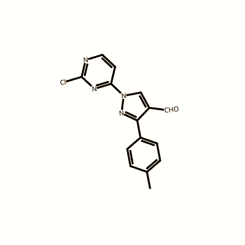 Cc1ccc(-c2nn(-c3ccnc(Cl)n3)cc2C=O)cc1